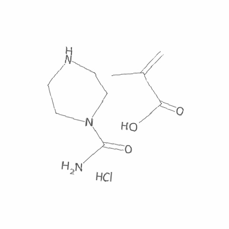 C=C(C)C(=O)O.Cl.NC(=O)N1CCNCC1